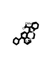 COC(=O)c1c2c(n3c1-c1ccc(C4CCCCC4)c4c1[N+](N)(C=CC4)CC3)CCC=C2